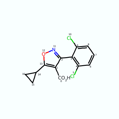 O=C(O)c1c(-c2c(Cl)cccc2Cl)noc1C1CC1